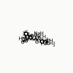 CCCc1nc(C)n(-c2ccc3c(c2)CC(C)(C)O3)c(=O)c1Cc1ccc(-c2ccccc2-c2noc(=O)[nH]2)cc1.[NaH]